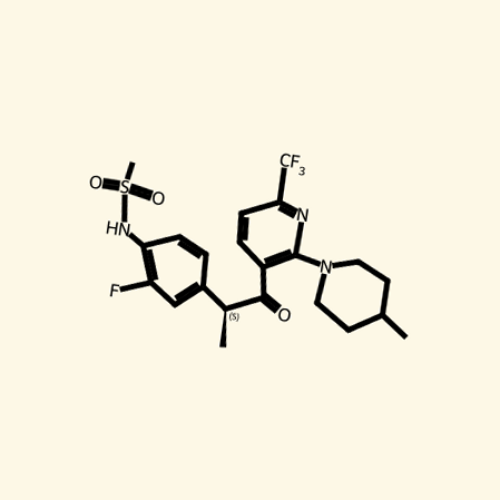 CC1CCN(c2nc(C(F)(F)F)ccc2C(=O)[C@@H](C)c2ccc(NS(C)(=O)=O)c(F)c2)CC1